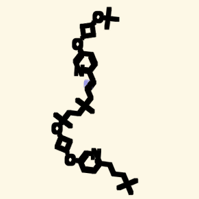 CC(C)(C)CCCc1ccc(O[C@H]2C[C@H](OC(C)(C)CCC(C)(C)C/C=C/c3ccc(O[C@H]4C[C@H](OC(C)(C)C)C4)cn3)C2)cn1